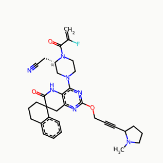 C=C(F)C(=O)N1CCN(c2nc(OCC#CC3CCCN3C)nc3c2NC(=O)C2(CCCc4ccccc42)C3)C[C@@H]1CC#N